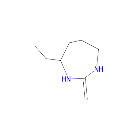 C=C1NCCCC(CC)N1